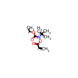 C=CC(=O)ON(C(=O)OCC)C(C)(C)C